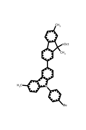 CCCCCCCCC1(C)c2cc(C)ccc2-c2ccc(-c3ccc4c(c3)c3cc(C)ccc3n4-c3ccc(C(C)CC)cc3)cc21